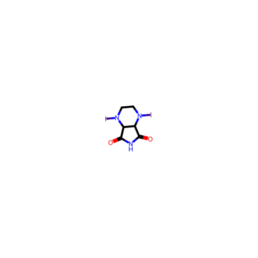 O=C1NC(=O)C2C1N(I)CCN2I